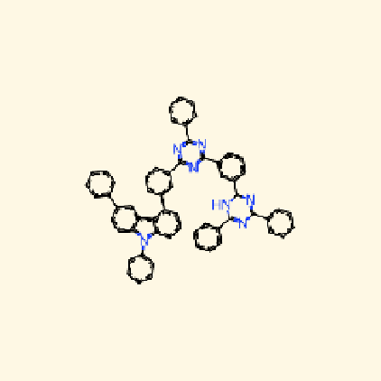 c1ccc(C2=NC(c3cccc(-c4nc(-c5ccccc5)nc(-c5cccc(-c6cccc7c6c6cc(-c8ccccc8)ccc6n7-c6ccccc6)c5)n4)c3)NC(c3ccccc3)=N2)cc1